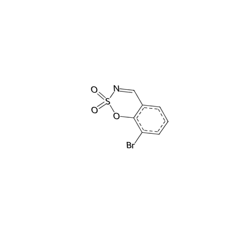 O=S1(=O)N=Cc2cccc(Br)c2O1